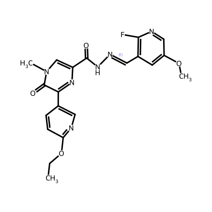 CCOc1ccc(-c2nc(C(=O)N/N=C/c3cc(OC)cnc3F)cn(C)c2=O)cn1